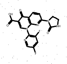 O=C(O)c1cn(-c2ncc(F)cc2F)c2nc(N3CCNC3=O)ccc2c1=O